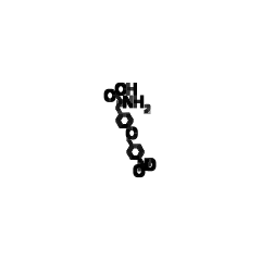 N[C@@H](Cc1ccc(OCc2ccc([N+](=O)[O-])cc2)cc1)C(=O)O